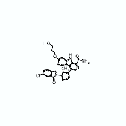 Cc1c(-c2cnc(C(N)=O)c3[nH]c4cc(OCCCO)ccc4c23)cccc1N1Cc2ccc(Cl)cc2C1=O